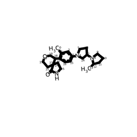 Cc1cc(N2CCC(N3CCCC3C)C2)ccc1C1COCCC12CCNC2=O